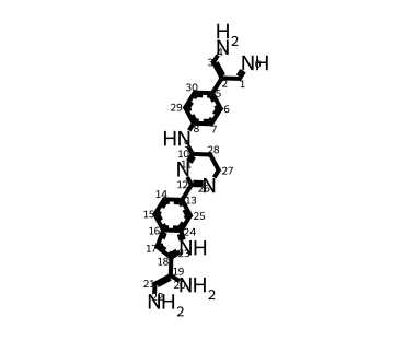 N=C/C(=C\N)c1ccc(NC2=NC(c3ccc4cc(/C(N)=C/N)[nH]c4c3)=NCC2)cc1